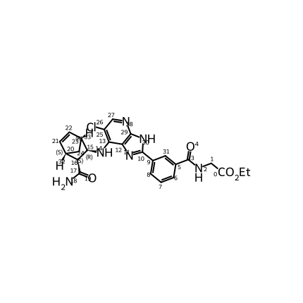 CCOC(=O)CNC(=O)c1cccc(-c2nc3c(N[C@H]4[C@@H](C(N)=O)[C@@H]5C=C[C@H]4C5)c(Cl)cnc3[nH]2)c1